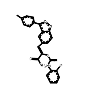 C=C(Nc1ccccc1Br)S/C(=C\c1ccc2noc(-c3ccc(C)cc3)c2c1)C(N)=O